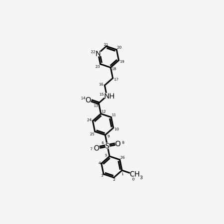 Cc1cccc(S(=O)(=O)c2ccc(C(=O)NCCc3cccnc3)cc2)c1